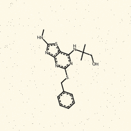 CNc1nc2nc(SCc3ccccc3)nc(NC(C)(C)CO)c2s1